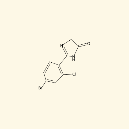 O=C1CN=C(c2ccc(Br)cc2Cl)N1